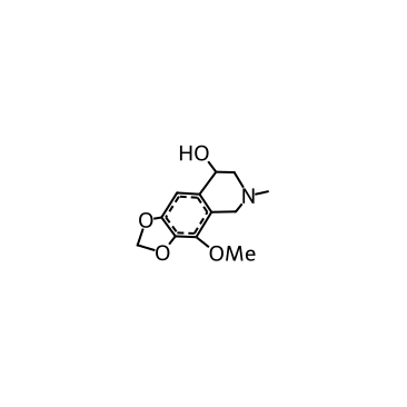 COc1c2c(cc3c1OCO3)C(O)CN(C)C2